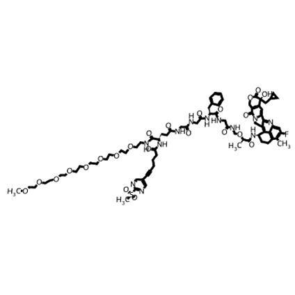 COCCOCCOCCOCCOCCOCCOCCOCCNC(=O)[C@H](CCC(=O)NCC(=O)NCC(=O)N[C@@H](Cc1ccccc1)C(=O)NCC(=O)NCO[C@H](C)C(=O)N[C@H]1CCc2c(C)c(F)cc3nc4c(c1c23)Cn1c-4cc2c(c1=O)COC(=O)[C@]2(O)CC1CC1)NC(=O)CCCC#Cc1cnc(S(C)(=O)=O)nc1